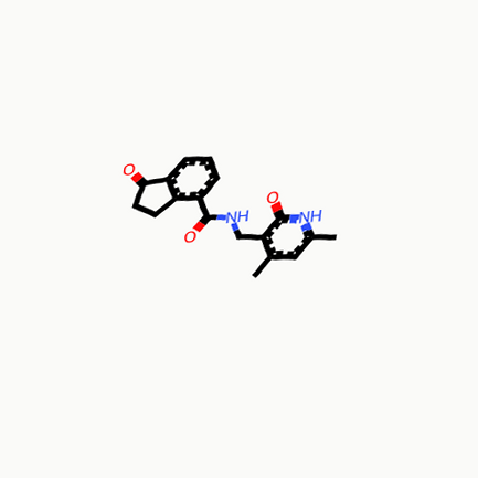 Cc1cc(C)c(CNC(=O)c2cccc3c2CCC3=O)c(=O)[nH]1